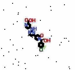 O=C(O)c1cc(Nc2nccc(-c3ccn([C@H](CO)c4ccc(Cl)c(F)c4)c(=O)c3)n2)ccn1